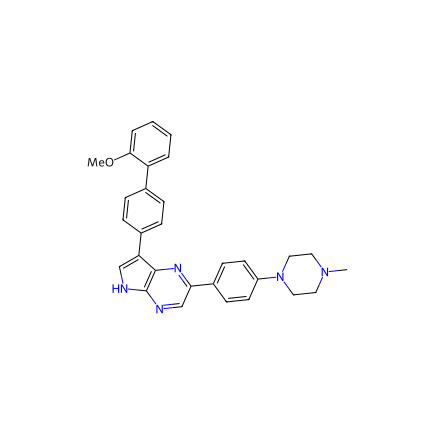 COc1ccccc1-c1ccc(-c2c[nH]c3ncc(-c4ccc(N5CCN(C)CC5)cc4)nc23)cc1